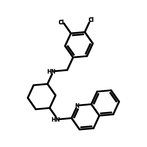 Clc1ccc(CNC2CCCC(Nc3ccc4ccccc4n3)C2)cc1Cl